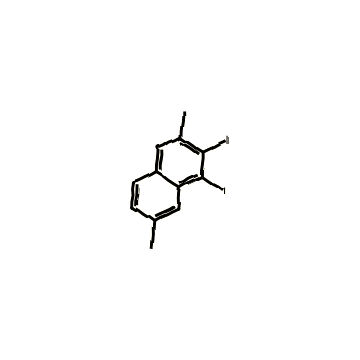 Cc1ccc2cc(C)c(I)c(I)c2c1